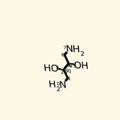 NC[C@@H](O)[C@H](O)CN